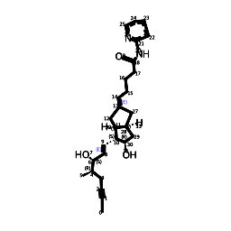 CC#CC[C@@H](C)[C@H](O)/C=C/[C@@H]1[C@H]2C/C(=C/CCCC(=O)Nc3ccccn3)C[C@H]2C[C@H]1O